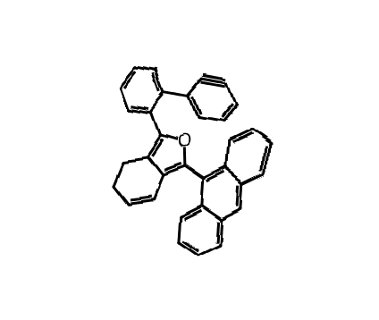 c1cccc(-c2ccccc2-c2oc(-c3c4ccccc4cc4ccccc34)c3c2CCC=C3)c#1